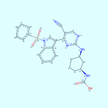 N#Cc1cnc(N[C@@H]2CCC[C@H](NC(=O)O)C2)nc1-c1cn(S(=O)(=O)c2ccccc2)c2ccccc12